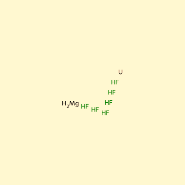 F.F.F.F.F.F.[MgH2].[U]